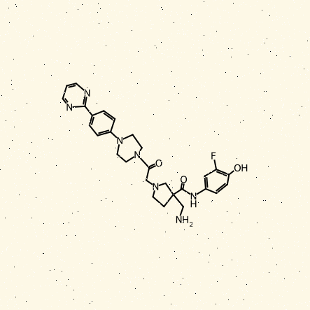 NCC1(C(=O)Nc2ccc(O)c(F)c2)CCN(CC(=O)N2CCN(c3ccc(-c4ncccn4)cc3)CC2)C1